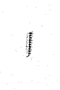 OCCC(F)(F)C(F)(F)C(F)(F)C(F)(F)C(F)(F)C(F)(F)C(F)(F)C(F)(F)C(F)(F)C(F)(F)C(F)(F)F